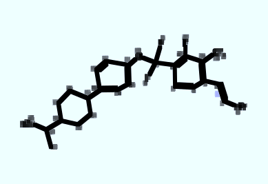 CCC/C=C/c1ccc(C(F)(F)Oc2ccc(C3CCC(C(C)CCCC)CC3)cc2)c(F)c1C(F)(F)F